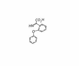 N=C(C(=O)O)c1ccccc1Oc1ccccc1